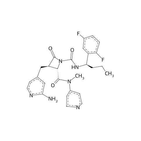 CCC[C@@H](NC(=O)N1C(=O)[C@H](Cc2ccnc(N)c2)[C@H]1C(=O)N(C)c1ccncc1)c1cc(F)ccc1F